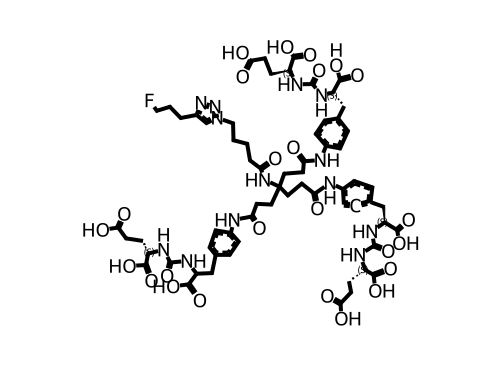 O=C(O)CC[C@H](NC(=O)NC(Cc1ccc(NC(=O)CCC(CCC(=O)Nc2ccc(C[C@H](NC(=O)N[C@@H](CCC(=O)O)C(=O)O)C(=O)O)cc2)(CCC(=O)Nc2ccc(C[C@H](NC(=O)N[C@@H](CCC(=O)O)C(=O)O)C(=O)O)cc2)NC(=O)CCCCn2cc(CCCF)nn2)cc1)C(=O)O)C(=O)O